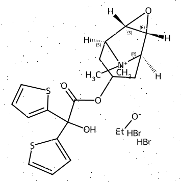 Br.Br.CC[O-].C[N+]1(C)[C@@H]2CC(OC(=O)C(O)(c3cccs3)c3cccs3)C[C@H]1[C@@H]1O[C@@H]12